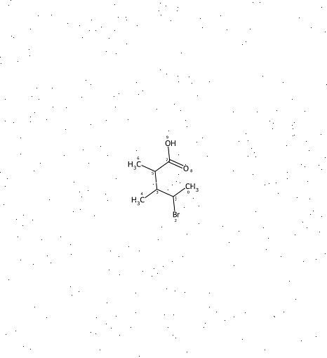 CC(Br)C(C)C(C)C(=O)O